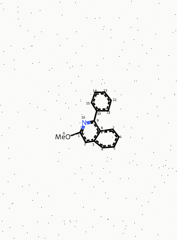 COc1cc2ccccc2c(-c2ccccc2)n1